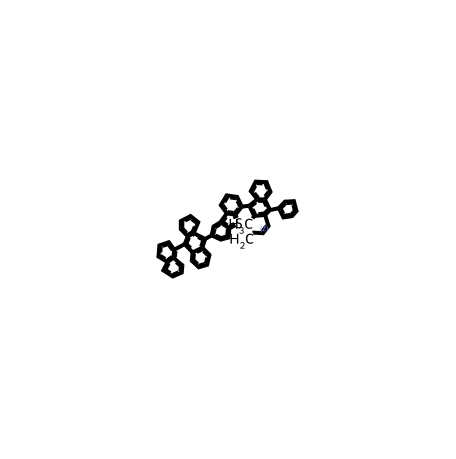 C=C/C=C\c1c(C)c(-c2cccc3c2sc2ccc(-c4c5ccccc5c(-c5cccc6ccccc56)c5ccccc45)cc23)c2ccccc2c1-c1ccccc1